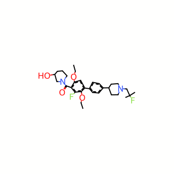 CCOc1cc(-c2ccc(C3CCN(CC(C)(C)F)CC3)cc2)c(OCC)c(F)c1C(=O)N1CCCC(O)C1